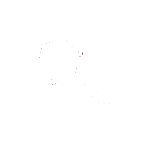 C#CC1OCCCO1